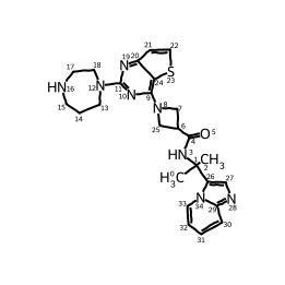 CC(C)(NC(=O)C1CN(c2nc(N3CCCNCC3)nc3ccsc23)C1)c1cnc2ccccn12